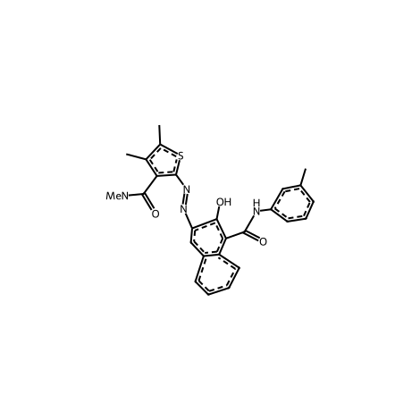 CNC(=O)c1c(/N=N/c2cc3ccccc3c(C(=O)Nc3cccc(C)c3)c2O)sc(C)c1C